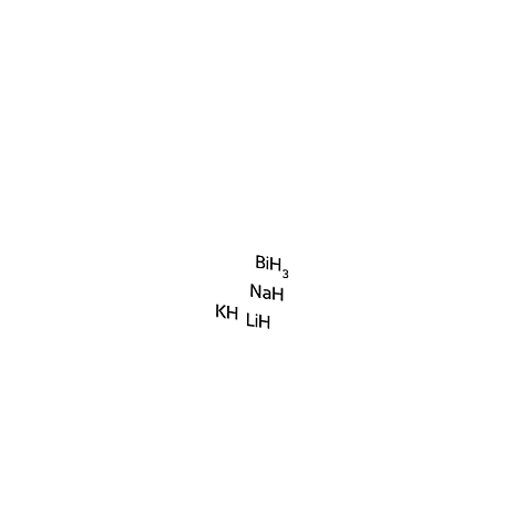 [BiH3].[KH].[LiH].[NaH]